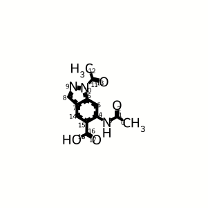 CC(=O)Nc1cc2c(cnn2C(C)=O)cc1C(=O)O